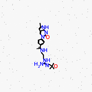 Cc1cc2cn(-c3ccc([C@H](C)NCCCN/C(N)=N\CC4(C)COC4)cc3)c(=O)nc2[nH]1